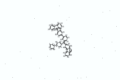 c1ccc(-c2ccc(N(c3cccc(-c4ccc5c(c4)c4cccc6c7ccccc7n5c64)c3)c3ccc4oc5ccccc5c4c3)cc2)cc1